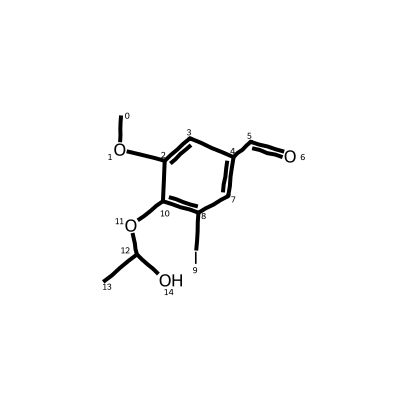 COc1cc(C=O)cc(I)c1OC(C)O